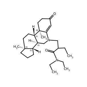 CCC(CN1C[C@H]2[C@@H]3CCC[C@@]3(C)CC[C@@H]2[C@@]2(C)CCC(=O)C=C12)C(=O)N(CC)CC